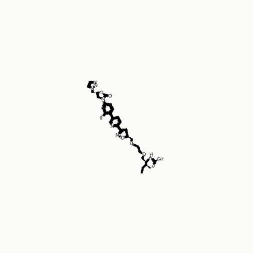 CC[C@H](C)[C@@H](COCCOC[C@@H]1CC(c2ccc(-c3ccc(N4C[C@H](Cn5ccnn5)OC4=O)cc3F)cn2)=NO1)NC(=O)O